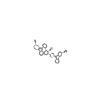 N#CC1=Cc2c(c3ccccc3n2-c2ccccc2-c2cccc(C3=CCC(n4c5ccccc5c5cc(C#N)ccc54)C=C3)c2C#N)C=CC1